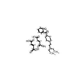 CCN(CC)CCN1CCC(c2noc3ccccc23)CC1.O=C(O)C=CC(=O)O.O=C(O)C=CC(=O)O